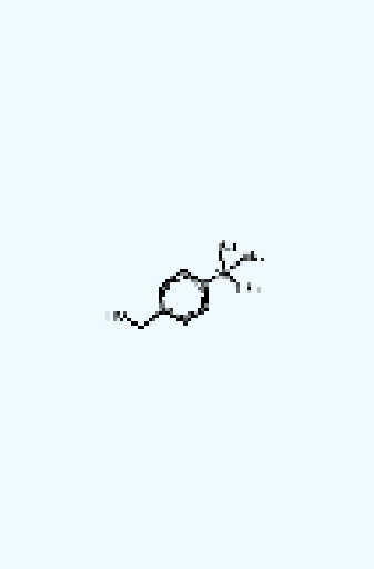 CCC[CH2][Sn]([CH2]CCC)([CH2]CCC)[c]1ccc(CO)cc1